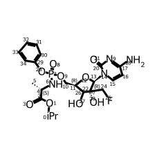 CC(C)OC(=O)[C@H](C)NP(=O)(OC[C@H]1O[C@@H](n2ccc(N)nc2=O)[C@@](O)(CF)C1O)Oc1ccccc1